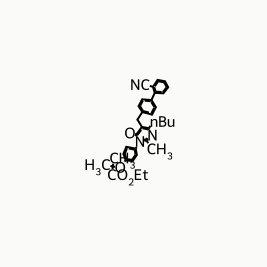 CCCCc1nc(C)n(-c2ccc(OC(C)(C)C(=O)OCC)cc2)c(=O)c1Cc1ccc(-c2ccccc2C#N)cc1